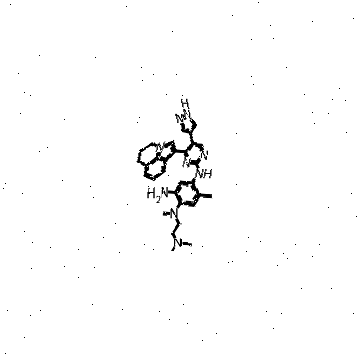 Cc1cc(N(C)CCN(C)C)c(N)cc1Nc1ncc(-c2cn[nH]c2)c(-c2cn3c4c(cccc24)CCC3)n1